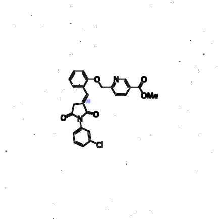 COC(=O)c1ccc(COc2ccccc2/C=C2\CC(=O)N(c3cccc(Cl)c3)C2=O)nc1